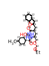 CCOCOC[C@H](C[C@H](Cc1cc2ccccc2o1)C(=O)NO)NC(=O)[C@H]1CC[C@H](C)CC1